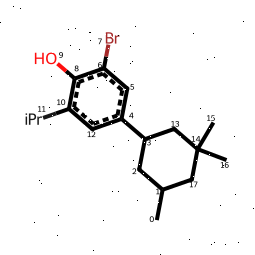 CC1CC(c2cc(Br)c(O)c(C(C)C)c2)CC(C)(C)C1